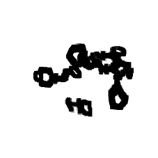 Cl.O=c1[nH]c(Cc2ccccc2OCCN2CCOCC2)nc2c1cnn2C1CCCC1